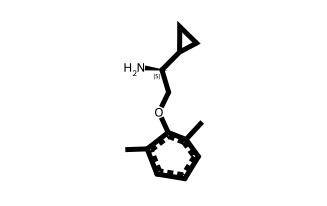 Cc1cccc(C)c1OC[C@@H](N)C1CC1